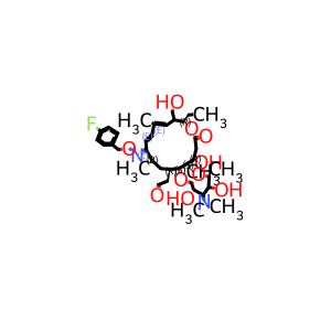 CC[C@H]1OC(=O)C[C@@H](O)[C@H](C)[C@@H](OC2OC(C)C(O)C(N(C)C)C2O)[C@@H](CC=O)C[C@@H](C)C(=N/OCc2ccc(F)cc2)/C=C/C(C)=C/C1CO